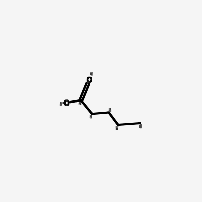 CCCCC([O])=O